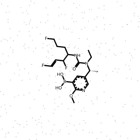 CCN(C(=O)NC(CCCF)C(F)C=CF)[C@H](C)c1cnc(OC)c(B(O)O)c1